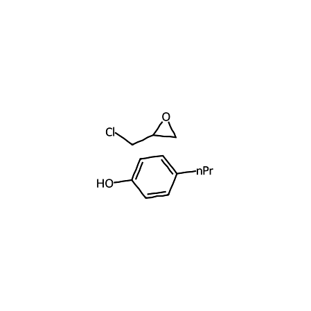 CCCc1ccc(O)cc1.ClCC1CO1